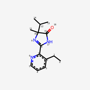 CCc1cccnc1C1=NC(C)(C(C)C)C(=O)N1